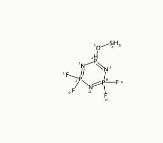 FP1(F)=N[PH](O[SiH3])=NP(F)(F)=N1